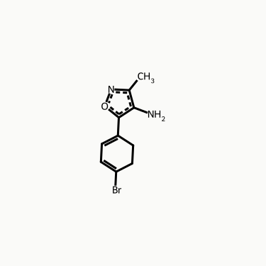 Cc1noc(C2=CC=C(Br)CC2)c1N